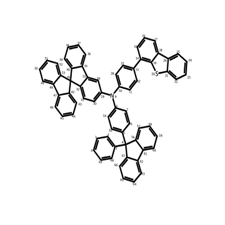 c1ccc(C2(c3ccc(N(c4ccc(-c5cccc6c5sc5ccccc56)cc4)c4ccc5c(c4)-c4ccccc4C54c5ccccc5-c5ccccc54)cc3)c3ccccc3-c3ccccc32)cc1